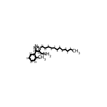 CCCCCCCCCCCCn1nnc(-c2ccccc2C)c1CN